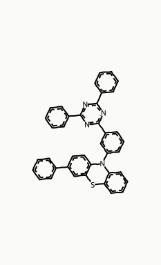 c1ccc(-c2ccc3c(c2)Sc2ccccc2N3c2cccc(-c3nc(-c4ccccc4)nc(-c4ccccc4)n3)c2)cc1